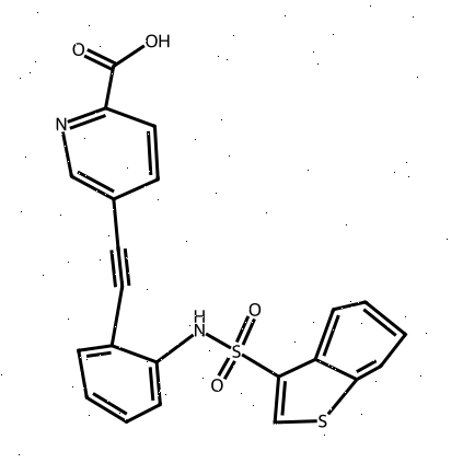 O=C(O)c1ccc(C#Cc2ccccc2NS(=O)(=O)c2csc3ccccc23)cn1